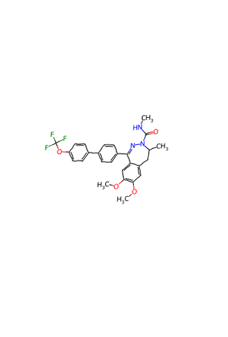 CNC(=O)N1N=C(c2ccc(-c3ccc(OC(F)(F)F)cc3)cc2)c2cc(OC)c(OC)cc2CC1C